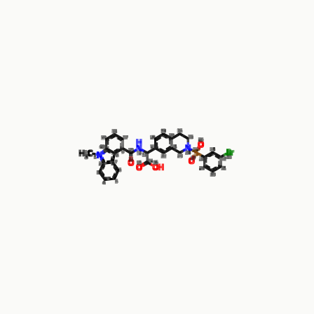 Cn1c2ccccc2c2c(C(=O)NC(C(=O)O)c3ccc4c(c3)CN(S(=O)(=O)c3cccc(Br)c3)CC4)cccc21